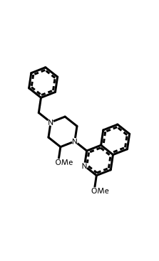 COc1cc2ccccc2c(N2CCN(Cc3ccccc3)CC2OC)n1